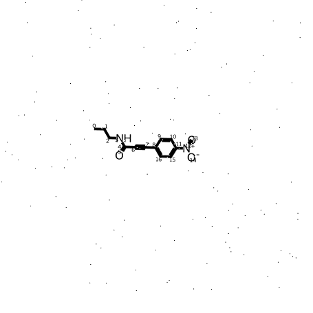 CCCNC(=O)C#Cc1ccc([N+](=O)[O-])cc1